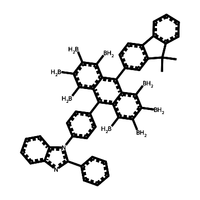 Bc1c(B)c(B)c2c(-c3ccc4c(c3)C(C)(C)c3ccccc3-4)c3c(B)c(B)c(B)c(B)c3c(-c3ccc(-n4c(-c5ccccc5)nc5ccccc54)cc3)c2c1B